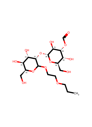 CCCOCCOC1O[C@@H](CO)[C@@H](O)[C@H](O)[C@@H]1O[C@H]1O[C@H](CO)[C@@H](O)[C@@H](OC=O)[C@@H]1O